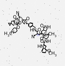 COc1cccc2[nH]c(C(=O)NC(CC(C)C)C(=O)NC(/C=C(/C#N)C(=O)NCc3ccc(N4CC[C@@H](C[C@@H](C#N)NC(=O)[C@@H]5CC6(CC6)CN5C(=O)OC5CCN(C)CC5)C4=O)cc3)CC3CCNC3=O)cc12